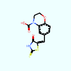 O=C1NC(=S)SC1=Cc1ccc2c(c1)N(C(=O)O)CCO2